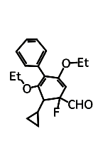 CCOC1=CC(F)(C=O)C(C2CC2)C(OCC)=C1c1ccccc1